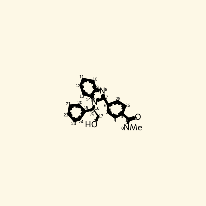 CNC(=O)c1ccc(-c2nc3ccccc3n2[C@@H](CO)c2ccccc2)cc1